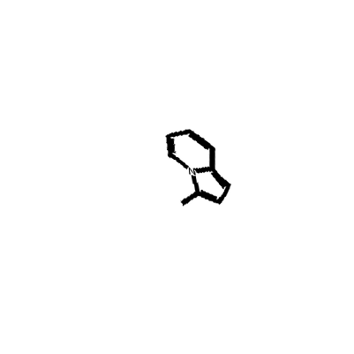 Cc1ccc2ccccn12